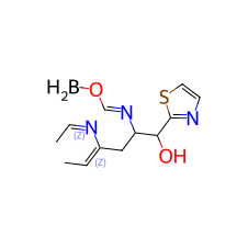 BOC=NC(CC(=C/C)/N=C\C)C(O)c1nccs1